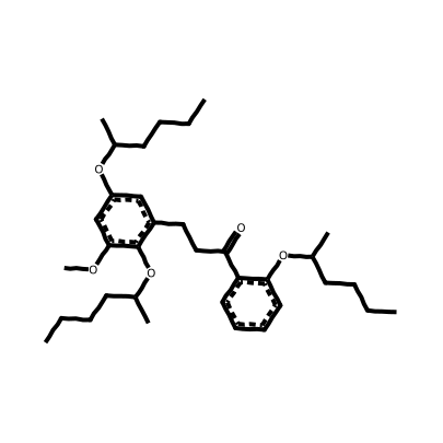 CCCCC(C)Oc1cc(CCC(=O)c2ccccc2OC(C)CCCC)c(OC(C)CCCC)c(OC)c1